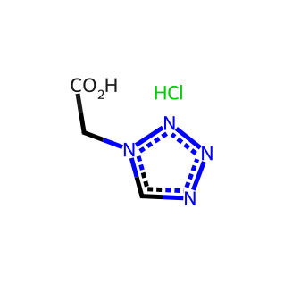 Cl.O=C(O)Cn1cnnn1